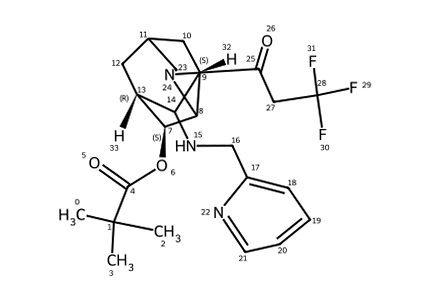 CC(C)(C)C(=O)O[C@@H]1C2[C@H]3CC(C[C@@H]1C3NCc1ccccn1)CN2C(=O)CC(F)(F)F